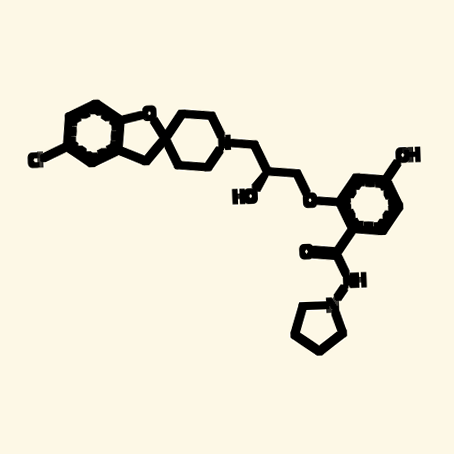 O=C(NN1CCCC1)c1ccc(O)cc1OC[C@@H](O)CN1CCC2(CC1)Cc1cc(Cl)ccc1O2